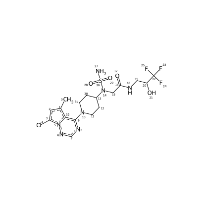 Cc1cc(Cl)n2ncnc(N3CCC(N(CC(=O)NCC(O)C(F)(F)F)S(N)(=O)=O)CC3)c12